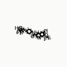 O=C(NC1CCC(N2CC(O)(C(F)(F)F)C2)CC1)c1cnc2cc(OC(F)F)c(Cl)cc2c1